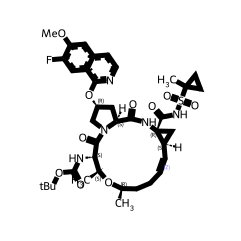 COc1cc2ccnc(O[C@@H]3C[C@H]4C(=O)N[C@]5(C(=O)NS(=O)(=O)C6(C)CC6)C[C@H]5/C=C\CC[C@@H](C)O[C@@H](C)[C@H](NC(=O)OC(C)(C)C)C(=O)N4C3)c2cc1F